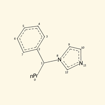 CCCC(c1ccccc1)n1ccnc1